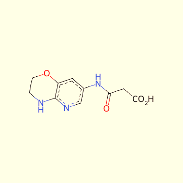 O=C(O)CC(=O)Nc1cnc2c(c1)OCCN2